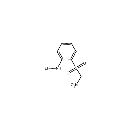 CCNc1ccccc1S(=O)(=O)C[N+](=O)[O-]